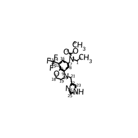 CCN(C(=O)OC)c1cc2c(c(C(F)(F)F)c1)OCCN2Cc1c[nH]cn1